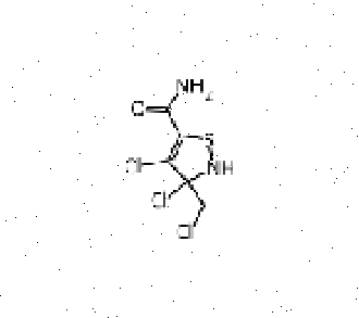 NC(=O)C1=C(Cl)C(Cl)(CCl)NS1